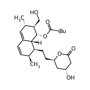 CCC(C)C(=O)O[C@H]1[C@H](CO)[C@@H](C)C=C2C=C[C@H](C)[C@H](CC[C@@H]3C[C@@H](O)CC(=O)O3)[C@H]21